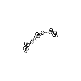 C=C(CC(=O)OC1CCCCC1)C(=O)OCCCCCCOc1ccc(OC(=O)c2ccc3c(c2)C(C)c2cc(OCCCOC(=O)C(=C)CC(=O)OC4CCCCC4)ccc2-3)cc1